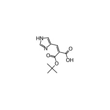 CC(C)(C)OC(=O)C(=Cc1c[nH]cn1)C(=O)O